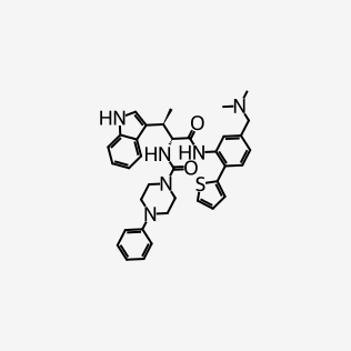 C[C@H](c1c[nH]c2ccccc12)[C@@H](NC(=O)N1CCN(c2ccccc2)CC1)C(=O)Nc1cc(CN(C)C)ccc1-c1cccs1